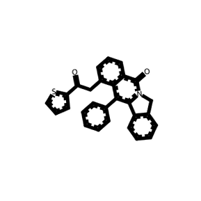 O=C(Cc1cccc2c(=O)n3c(c(-c4ccccc4)c12)-c1ccccc1C3)c1cccs1